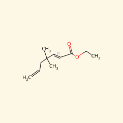 C=CCC(C)(C)/C=C/C(=O)OCC